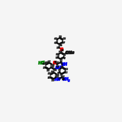 COc1cc(C(Nc2ccc(C(=N)N)cc2)C(=O)NC(c2ccccc2)c2ccccc2)ccc1OCc1ccccc1.Cl